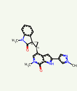 CN1C(=O)[C@@]2(C[C@H]2c2cn(C)c(=O)c3[nH]c(-c4cnn(C)c4)cc23)c2ccccc21